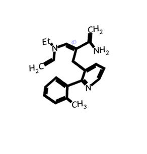 C=CN(/C=C(\Cc1cccnc1-c1ccccc1C)C(=C)N)CC